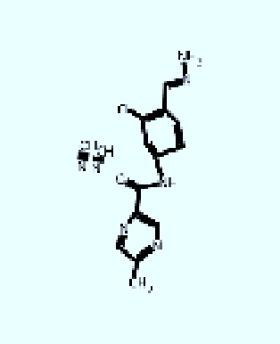 C#N.C#N.Cc1cnc(C(=O)Nc2ccc(C=NN)c(Cl)c2)cn1